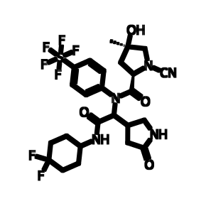 C[C@@]1(O)C[C@H](C(=O)N(c2ccc(S(F)(F)(F)(F)F)cc2)C(C(=O)NC2CCC(F)(F)CC2)C2CNC(=O)C2)N(C#N)C1